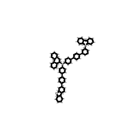 c1cc(-c2ccc(-c3ccc(N(c4ccc(-c5ccc(-c6ccc7c(c6)oc6ccccc67)cc5)cc4)c4cc5ccccc5c5ccccc45)cc3)cc2)cc(-n2c3ccccc3c3ccccc32)c1